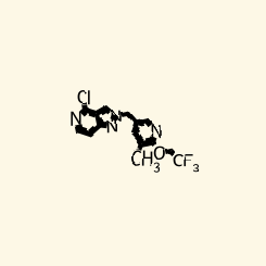 Cc1cc(Cn2cc3c(Cl)nccc3n2)cnc1OCC(F)(F)F